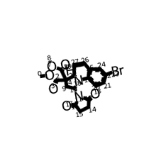 COC(=O)C1(C(=O)OC)C[C@@H](N2C(=O)CCC2=O)N2c3ccc(Br)cc3C=C[C@@H]21